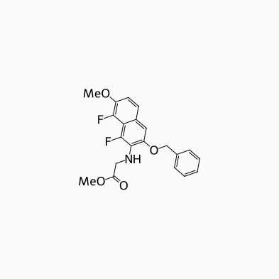 COC(=O)CNc1c(OCc2ccccc2)cc2ccc(OC)c(F)c2c1F